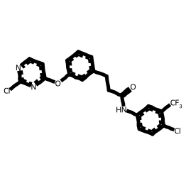 O=C(CCc1cccc(Oc2ccnc(Cl)n2)c1)Nc1ccc(Cl)c(C(F)(F)F)c1